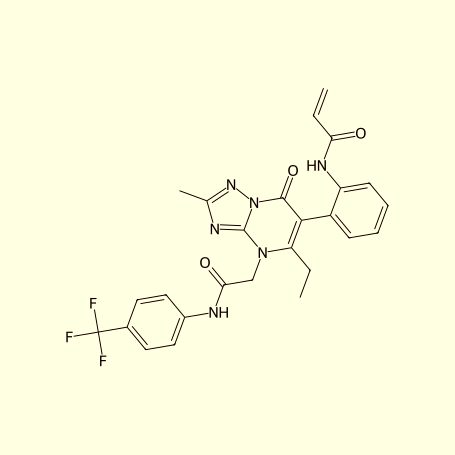 C=CC(=O)Nc1ccccc1-c1c(CC)n(CC(=O)Nc2ccc(C(F)(F)F)cc2)c2nc(C)nn2c1=O